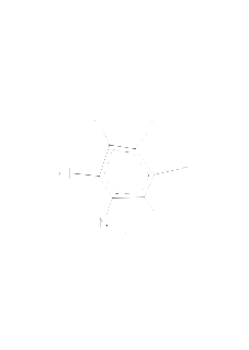 Cc1c(F)c(F)c(F)c([N+](=O)[O-])c1Cl